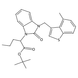 CCCC(C(=O)OC(C)(C)C)n1c(=O)n(Cc2csc3cccc(C)c23)c2ccccc21